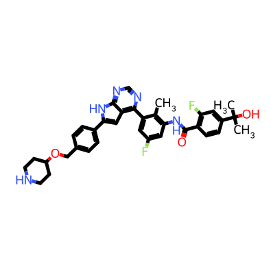 Cc1c(NC(=O)c2ccc(C(C)(C)O)cc2F)cc(F)cc1-c1ncnc2[nH]c(-c3ccc(COC4CCNCC4)cc3)cc12